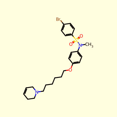 CN(c1ccc(OCCCCCCN2CC=CCC2)cc1)S(=O)(=O)c1ccc(Br)cc1